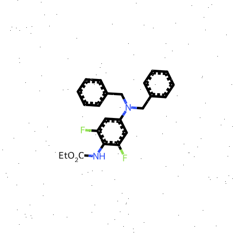 CCOC(=O)Nc1c(F)cc(N(Cc2ccccc2)Cc2ccccc2)cc1F